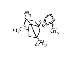 CC12CC3(C)CC(C)(C1)CC(N)(C2)C3.Cc1ccco1